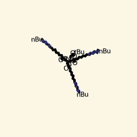 CCCC/C=C/C=C/C=C/CCCCCCCC(=O)OCC(COC(=O)CCCCCCC/C=C/C=C/C=C/CCCC)(COC(=O)CCCCCCC/C=C/C=C/C=C/CCCC)NCCC(=O)OC(C)(C)C